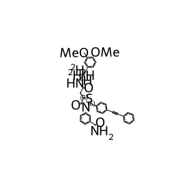 [2H]C([2H])(NC(=O)C[C@H]1S[C@@H](c2ccc(C#Cc3ccccc3)cc2)N(c2cccc(C(N)=O)c2)C1=O)C([2H])([2H])c1ccc(OC)c(OC)c1